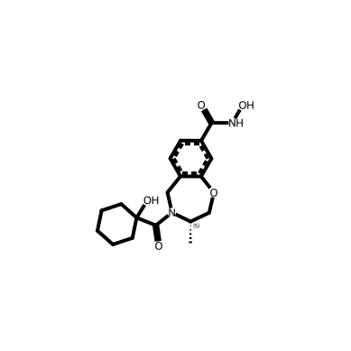 C[C@H]1COc2cc(C(=O)NO)ccc2CN1C(=O)C1(O)CCCCC1